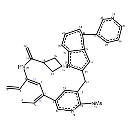 C=C/C(=C\C(=C/C)c1cnc(NC)c(Cc2cc3c(-c4cccnc4)cccc3[nH]2)c1)NC(=C)C1CCC1